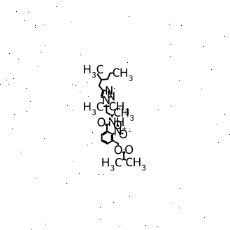 CCCC(CC)Cc1cn(C(C)(C)CC(C)NC(=O)c2cccc(COC(=O)C(C)C)c2[N+](=O)[O-])nn1